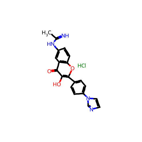 CC(=N)Nc1ccc2oc(-c3ccc(-n4ccnc4)cc3)c(O)c(=O)c2c1.Cl